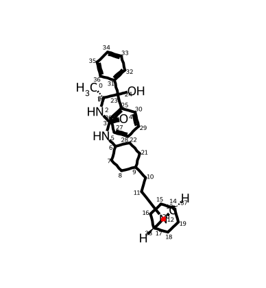 C[C@@H](NC(=O)NC1CCC(CCN2C[C@H]3CC[C@@H](CC3)C2)CC1)C(O)(c1ccccc1)c1ccccc1